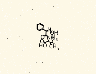 CC(C)C(NC(=O)C(=NO)c1ccccc1)C(=O)O